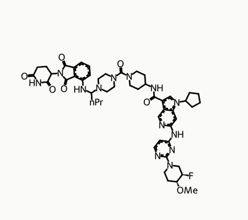 CCCC(Nc1cccc2c1C(=O)N(C1CCC(=O)NC1=O)C2=O)N1CCN(C(=O)N2CCC(NC(=O)c3cn(C4CCCC4)c4cc(Nc5ccnc(N6CC[C@H](OC)[C@H](F)C6)n5)ncc34)CC2)CC1